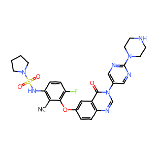 N#Cc1c(NS(=O)(=O)N2CCCC2)ccc(F)c1Oc1ccc2ncn(-c3cnc(N4CCNCC4)nc3)c(=O)c2c1